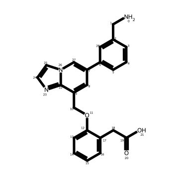 NCc1cccc(-c2cc(COc3ccccc3CC(=O)O)c3nccn3c2)c1